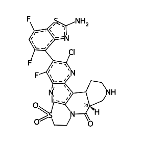 Nc1nc2c(-c3c(Cl)nc4c5c6c(nc4c3F)S(=O)(=O)CCN6C(=O)[C@H]3CNCCC53)c(F)cc(F)c2s1